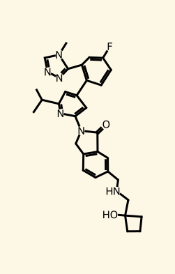 CC(C)c1cc(-c2ccc(F)cc2-c2nncn2C)cc(N2Cc3ccc(CNCC4(O)CCC4)cc3C2=O)n1